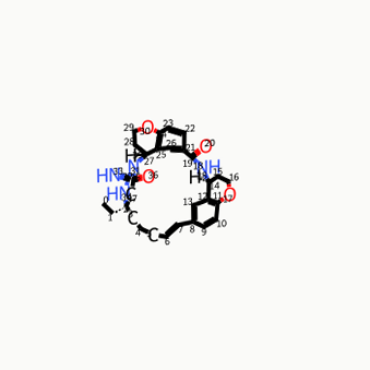 CC[C@]12CCC/C=C/c3ccc4c(c3)[C@H](CCO4)NC(=O)c3ccc4c(c3)[C@@H](CCO4)N(C(=N)N1)C(=O)C2